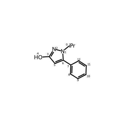 CC(C)n1nc(O)cc1-c1ccccc1